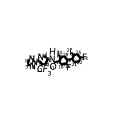 O=C(Nc1cnc(-n2nccn2)c(C(F)(F)F)c1)c1cc(F)c(-c2ccc(F)cc2I)cc1I